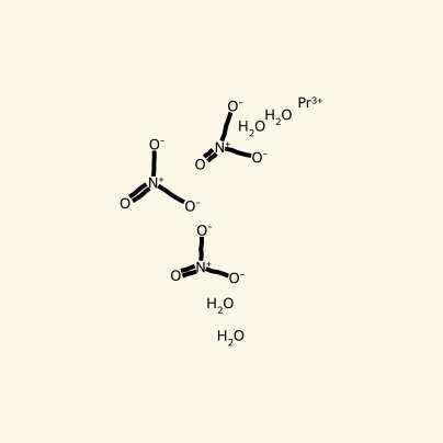 O.O.O.O.O=[N+]([O-])[O-].O=[N+]([O-])[O-].O=[N+]([O-])[O-].[Pr+3]